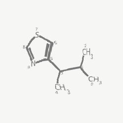 CC(C)C(C)c1cscn1